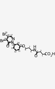 O=C(O)CCC(=O)NCCCOc1cccc(-n2ncc(Br)c(Br)c2=O)c1